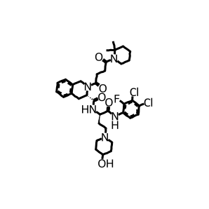 CC1(C)CCCCN1C(=O)CCC(=O)N1Cc2ccccc2C[C@H]1C(=O)N[C@H](CCN1CCC(O)CC1)C(=O)Nc1ccc(Cl)c(Cl)c1F